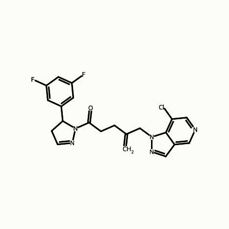 C=C(CCC(=O)N1N=CCC1c1cc(F)cc(F)c1)Cn1ncc2cncc(Cl)c21